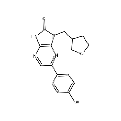 O=c1[nH]c2ncc(-c3ccc(O)cc3)nc2n1CC1CCOC1